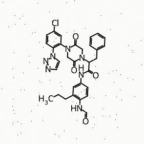 CCCc1cc(NC(=O)C(Cc2ccccc2)N2CC(=O)N(c3cc(Cl)ccc3-n3ccnn3)CC2=O)ccc1NC=O